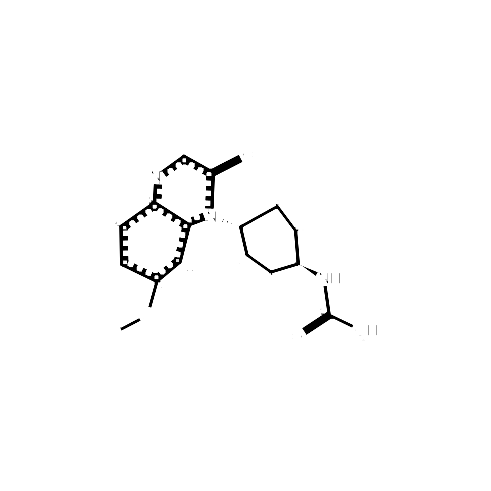 COc1ccc2ncc(=O)n([C@H]3CC[C@H](NC(=O)O)CC3)c2c1